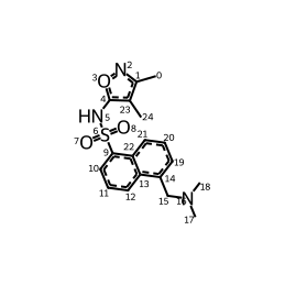 Cc1noc(NS(=O)(=O)c2cccc3c(CN(C)C)cccc23)c1C